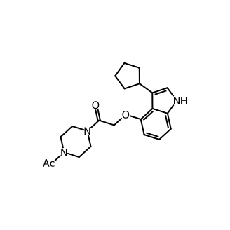 CC(=O)N1CCN(C(=O)COc2cccc3[nH]cc(C4CCCC4)c23)CC1